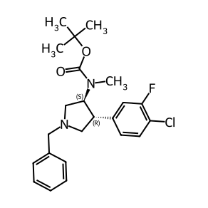 CN(C(=O)OC(C)(C)C)[C@@H]1CN(Cc2ccccc2)C[C@H]1c1ccc(Cl)c(F)c1